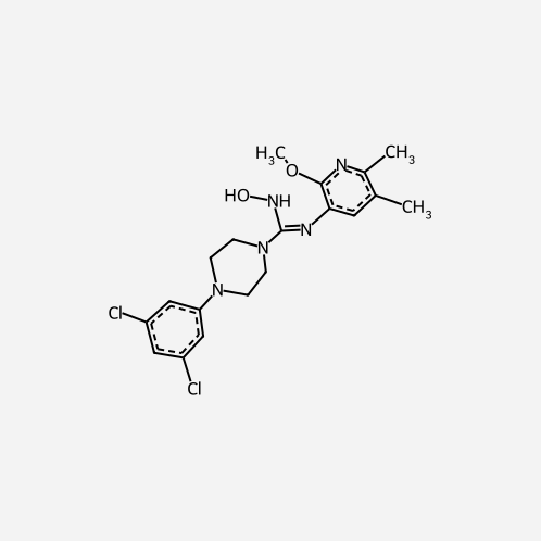 COc1nc(C)c(C)cc1N=C(NO)N1CCN(c2cc(Cl)cc(Cl)c2)CC1